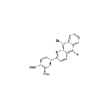 COc1ccc(-c2cnc3c(Br)c4ccccc4c(Br)c3n2)cc1OC